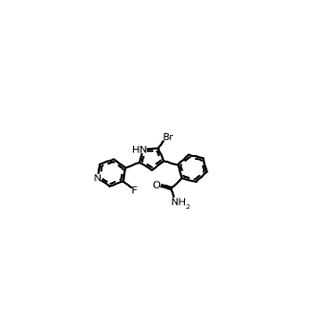 NC(=O)c1ccccc1-c1cc(-c2ccncc2F)[nH]c1Br